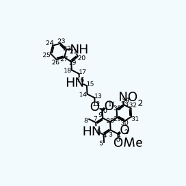 COC(=O)C1=C(C)NC(C)=C(C(=O)OCCCNCCc2c[nH]c3ccccc23)C1c1cccc([N+](=O)[O-])c1